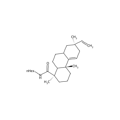 C=C[C@@]1(C)CC=C2C(CCC3[C@](C)(C(=O)NCCCCCC)CCC[C@@]23C)C1